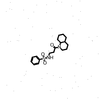 O=C(CCNS(=O)(=O)c1ccccc1)N1CCCC2CCCCC21